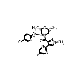 C[C@@H]1CN(C(=O)c2nn(C)cc2-c2ncc(F)cn2)[C@H](CNc2ccc(Cl)cn2)[C@H](C)O1